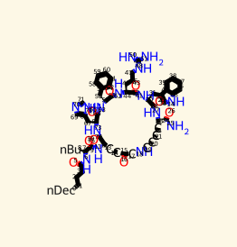 CCCCCCCCCCCCCC(=O)N[C@@H](CCCC)C(=O)N[C@H]1CCC(=O)CNCCCC[C@@H](C(N)=O)NC(=O)[C@H](Cc2c[nH]c3ccccc23)NC(=O)[C@H](CCCNC(=N)N)NC(=O)[C@@H](Cc2ccccc2)NC(=O)[C@H](Cc2cnc[nH]2)NC1=O